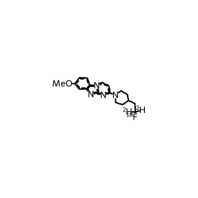 [2H]C([2H])([18F])CC1CCN(c2ccn3c(n2)nc2cc(OC)ccc23)CC1